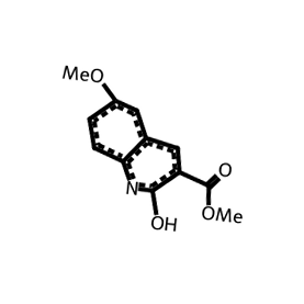 COC(=O)c1cc2cc(OC)ccc2nc1O